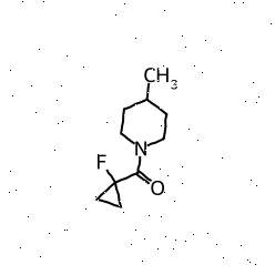 CC1CCN(C(=O)C2(F)CC2)CC1